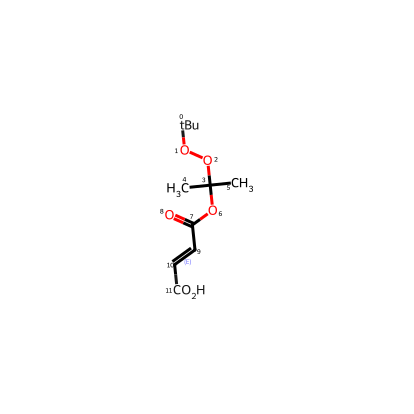 CC(C)(C)OOC(C)(C)OC(=O)/C=C/C(=O)O